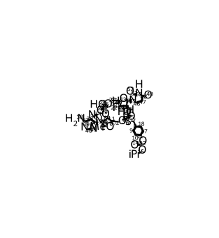 CO[C@@H]1CO[P@@](=O)(SCc2ccc(OC(=O)OC(C)C)cc2)O[C@@H]2[C@H](F)[C@@H](COP(=O)(O)O[C@H]1[C@@H](F)n1cnc3c(N)ncnc31)O[C@H]2n1ccc(=O)[nH]c1=O